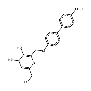 O=C(O)c1ccc(-c2ccc(NCC3=C(O)C(S)C=C(CO)O3)cc2)cc1